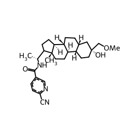 COC[C@@]1(O)CC[C@H]2[C@H](CC[C@@H]3[C@@H]2CC[C@]2(C)C([C@@H](C)NC(=O)c4ccc(C#N)nc4)CC[C@@H]32)C1